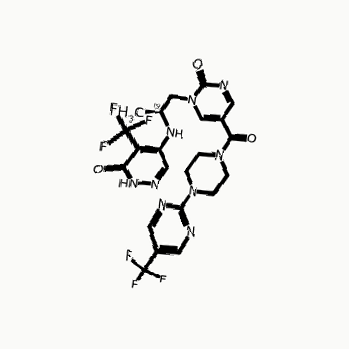 C[C@@H](Cn1cc(C(=O)N2CCN(c3ncc(C(F)(F)F)cn3)CC2)cnc1=O)Nc1cn[nH]c(=O)c1C(F)(F)F